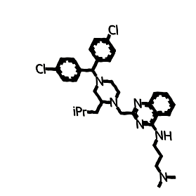 CC(C)CC1CN(C(c2ccc(Cl)cc2)c2ccc(Cl)cc2)CCN1Cc1nc(NCCCN(C)C)c2ccccc2n1